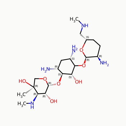 CNC[C@@H]1CC[C@@H](N)[C@@H](OC2[C@@H](N)C[C@@H](N)[C@H](O[C@H]3OC[C@](C)(O)[C@H](NC)[C@H]3O)[C@H]2O)O1